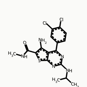 CNC(=O)c1sc2nc(NC(C)C)nc(-c3ccc(Cl)c(Cl)c3)c2c1N